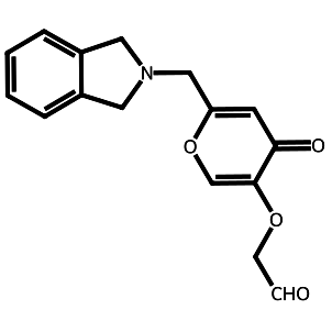 O=CCOc1coc(CN2Cc3ccccc3C2)cc1=O